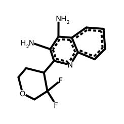 Nc1c(C2CCOCC2(F)F)nc2ccccc2c1N